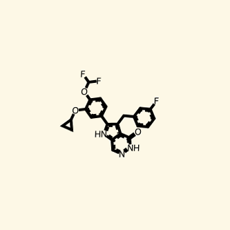 O=c1[nH]ncc2[nH]c(-c3ccc(OC(F)F)c(OC4CC4)c3)c(Cc3cccc(F)c3)c12